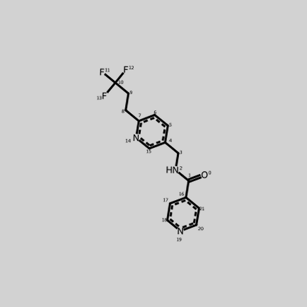 O=C(NCc1ccc(CCC(F)(F)F)nc1)c1ccncc1